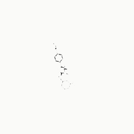 Cn1nc(-c2ccc(C#N)cc2)s/c1=N/C1CCCC(O)C1